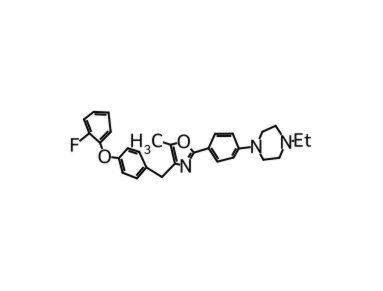 CCN1CCN(c2ccc(-c3nc(Cc4ccc(Oc5ccccc5F)cc4)c(C)o3)cc2)CC1